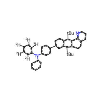 [2H]c1c([2H])c([2H])c(N(c2ccccc2)c2ccc(-c3ccc4c(C(C)(C)C)c5c(ccc6cccnc65)c(C(C)(C)C)c4c3)cc2)c([2H])c1[2H]